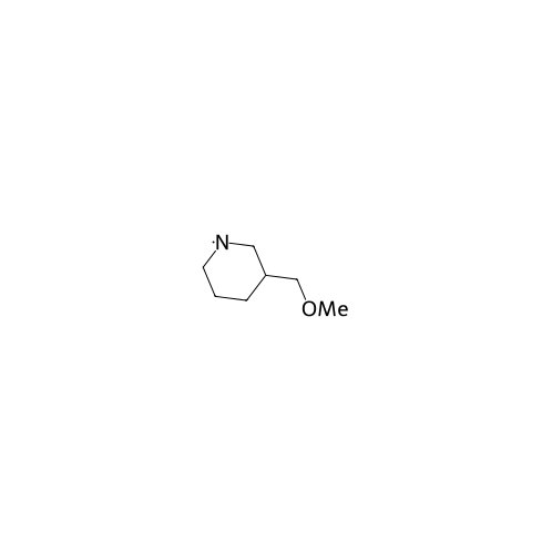 COCC1CCC[N]C1